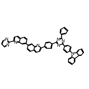 c1ccc(-c2nc(-c3ccc(-c4ccc5ccc(-c6ccc7ccc(-c8ncccn8)nc7c6)cc5n4)cc3)nc(-c3ccc(-n4c5ccccc5c5ccccc54)cc3)n2)cc1